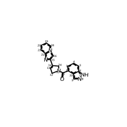 O=C(c1cccc2[nH]ncc12)N1CC=C(c2cn3ccccc3n2)C1